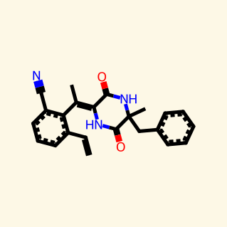 C=Cc1cccc(C#N)c1C(C)=C1NC(=O)C(C)(Cc2ccccc2)NC1=O